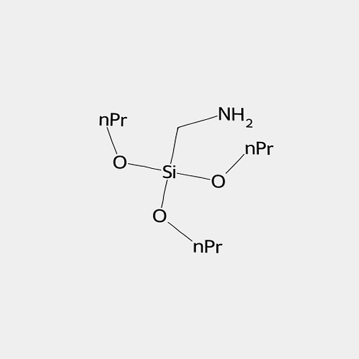 CCCO[Si](CN)(OCCC)OCCC